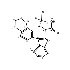 Cc1cccc2sc(C(OC(C)(C)C)C(=O)O)c(-c3ccc4c(c3)CCCO4)c12